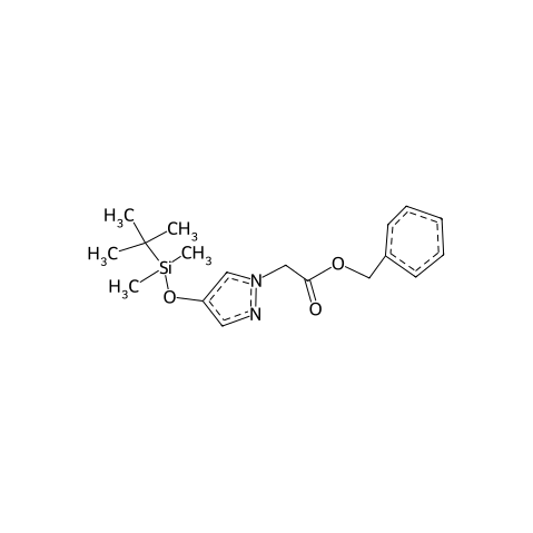 CC(C)(C)[Si](C)(C)Oc1cnn(CC(=O)OCc2ccccc2)c1